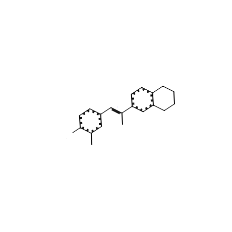 C/C(=C\c1ccc(C(=O)O)c(C)c1)c1ccc2c(c1)CCCC2